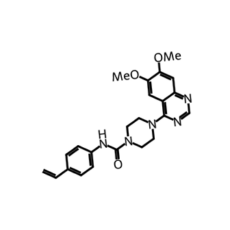 C=Cc1ccc(NC(=O)N2CCN(c3ncnc4cc(OC)c(OC)cc34)CC2)cc1